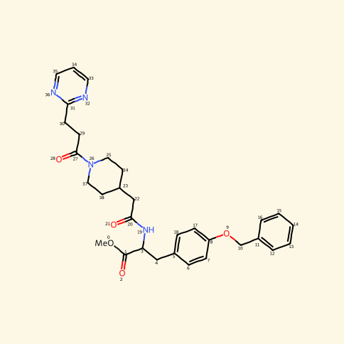 COC(=O)C(Cc1ccc(OCc2ccccc2)cc1)NC(=O)CC1CCN(C(=O)CCc2ncccn2)CC1